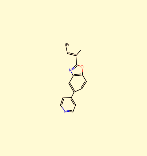 CC(=CC(C)C)c1nc2cc(-c3ccncc3)ccc2o1